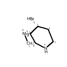 Br.C1CCNCC1.[CH3][Mg+2]